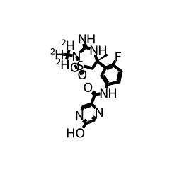 [2H]C([2H])([2H])N1C(=N)N[C@](C)(c2cc(NC(=O)c3cnc(O)cn3)ccc2F)CS1(=O)=O